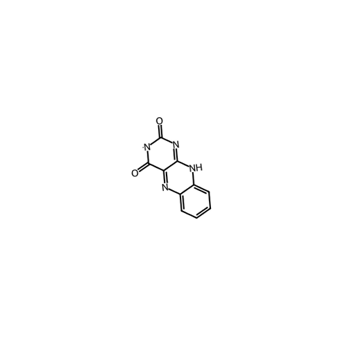 O=C1[N]C(=O)C2=Nc3ccccc3NC2=N1